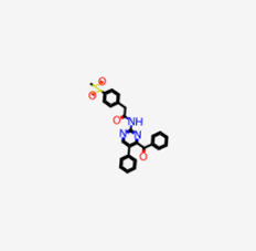 CS(=O)(=O)c1ccc(CC(=O)Nc2ncc(-c3ccccc3)c(C(=O)c3ccccc3)n2)cc1